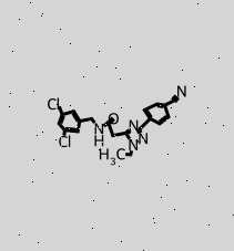 CCn1nc(-c2ccc(C#N)cc2)nc1CC(=O)NCc1cc(Cl)cc(Cl)c1